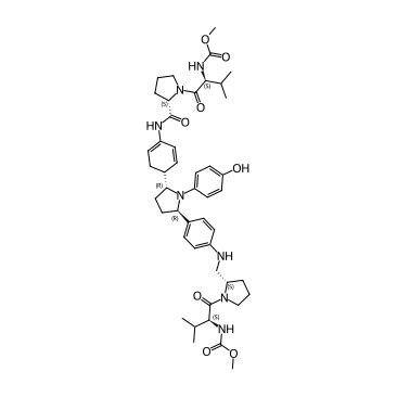 COC(=O)N[C@H](C(=O)N1CCC[C@H]1CNc1ccc([C@H]2CC[C@H](C3C=CC(NC(=O)[C@@H]4CCCN4C(=O)[C@@H](NC(=O)OC)C(C)C)=CC3)N2c2ccc(O)cc2)cc1)C(C)C